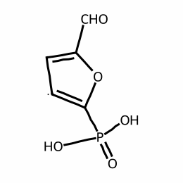 O=Cc1c[c]c(P(=O)(O)O)o1